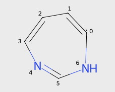 [C]1=CC=CN=CN1